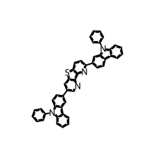 c1ccc(-n2c3ccccc3c3cc(-c4cnc5c(c4)sc4ccc(-c6ccc7c8ccccc8n(-c8ccccc8)c7c6)nc45)ccc32)cc1